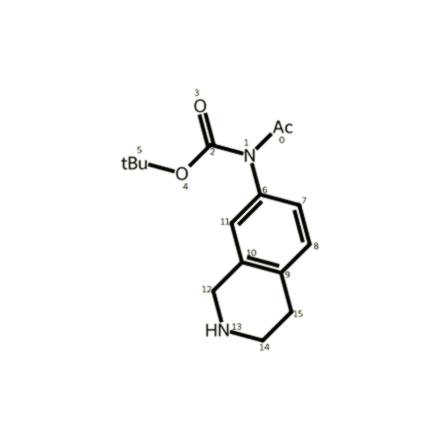 CC(=O)N(C(=O)OC(C)(C)C)c1ccc2c(c1)CNCC2